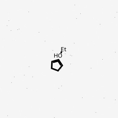 C1=CCCC=1.CCO